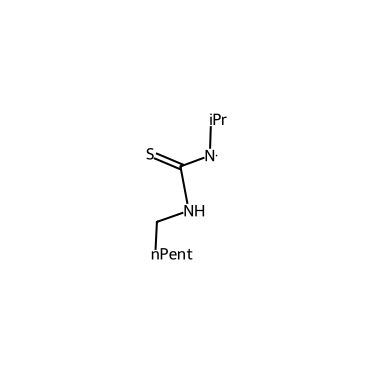 CCCCCCNC(=S)[N]C(C)C